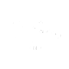 CC(CC=O)N(C(=O)O)C(=O)OCc1ccccc1